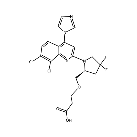 O=C(O)CCOC[C@@H]1CC(F)(F)CN1c1cc(-n2ccnc2)c2ccc(Cl)c(Cl)c2n1